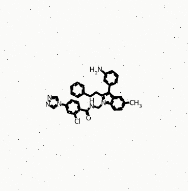 Cc1ccc2c(c1)c(-c1cccc(N)c1)c(CCc1ccccc1)n2CNC(=O)c1ccc(-n2cnnc2)cc1Cl